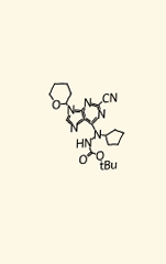 CC(C)(C)OC(=O)NN(c1nc(C#N)nc2c1ncn2C1CCCCO1)C1CCCC1